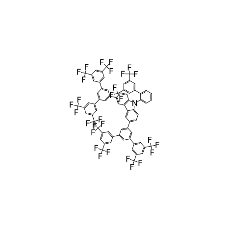 FC(F)(F)c1cc(-c2cc(-c3cc(C(F)(F)F)cc(C(F)(F)F)c3)cc(-c3ccc4c(c3)c3cc(-c5cc(-c6cc(C(F)(F)F)cc(C(F)(F)F)c6)cc(-c6cc(C(F)(F)F)cc(C(F)(F)F)c6)c5)ccc3n4-c3ccccc3-c3cc(C(F)(F)F)cc(C(F)(F)F)c3)c2)cc(C(F)(F)F)c1